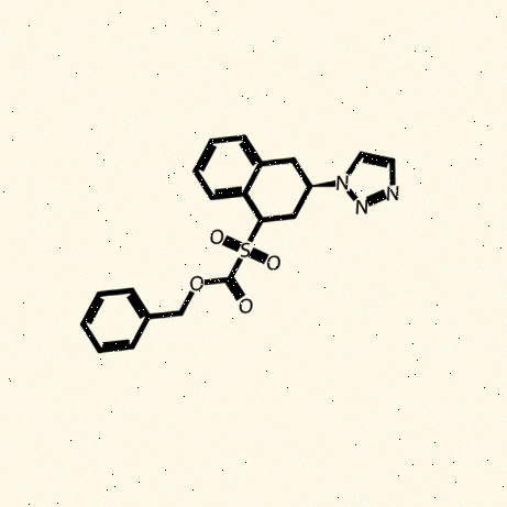 O=C(OCc1ccccc1)S(=O)(=O)C1C[C@H](n2ccnn2)Cc2ccccc21